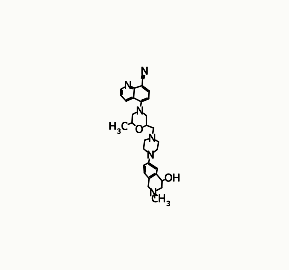 CC1CN(c2ccc(C#N)c3ncccc23)CC(CN2CCN(c3ccc4c(c3)C(O)CN(C)C4)CC2)O1